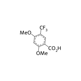 COc1cc(OC)c(C(F)(F)F)cc1C(=O)O